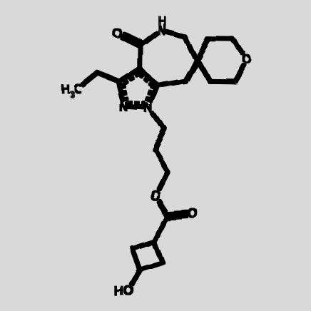 CCc1nn(CCCOC(=O)C2CC(O)C2)c2c1C(=O)NCC1(CCOCC1)C2